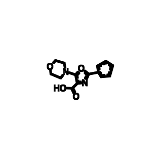 O=C(O)c1nc(-c2ccccc2)oc1N1CCOCC1